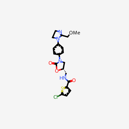 COCC1=NCCN1c1ccc(N2C[C@H](CNC(=O)c3ccc(Cl)s3)OC2=O)cc1